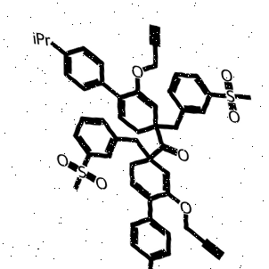 C#CCOC1=CC(Cc2cccc(S(C)(=O)=O)c2)(C(=O)C2(Cc3cccc(S(C)(=O)=O)c3)C=C(OCC#C)C(c3ccc(C(C)C)cc3)=CC2)CC=C1c1ccc(C(C)C)cc1